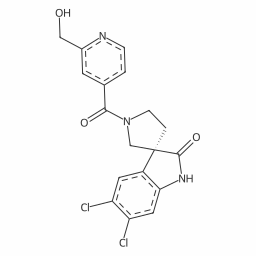 O=C(c1ccnc(CO)c1)N1CC[C@]2(C1)C(=O)Nc1cc(Cl)c(Cl)cc12